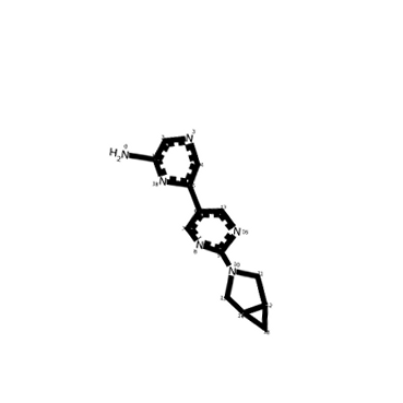 Nc1cncc(-c2cnc(N3CC4CC4C3)nc2)n1